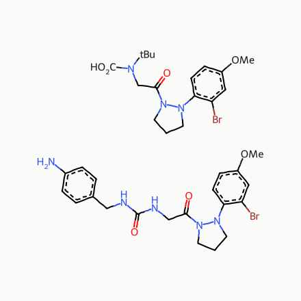 COc1ccc(N2CCCN2C(=O)CN(C(=O)O)C(C)(C)C)c(Br)c1.COc1ccc(N2CCCN2C(=O)CNC(=O)NCc2ccc(N)cc2)c(Br)c1